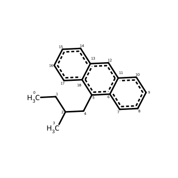 CCC(C)Cc1c2ccccc2cc2ccccc12